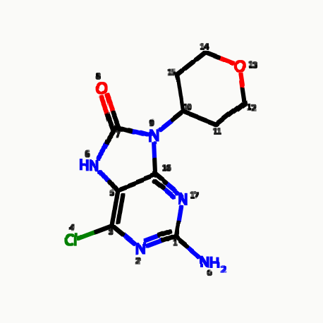 Nc1nc(Cl)c2[nH]c(=O)n(C3CCOCC3)c2n1